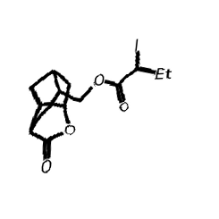 CCC(I)C(=O)OCC1C2CC3OC(=O)C1C3C2